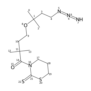 CC(C)(CCN=[N+]=N)OCCC(C)(C)C(=O)N1CCCSC1=S